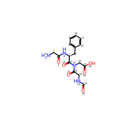 NCC(=O)N[C@@H](Cc1ccccc1)C(=O)N(CC(=O)O)C(=O)CNC=O